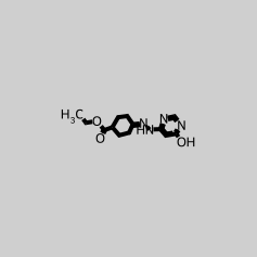 CCOC(=O)C1CCC(=NNc2cc(O)ncn2)CC1